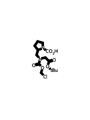 CC(C)(C)OC(=O)CN(CC1CCCN1C(=O)O)C(=O)OCCl